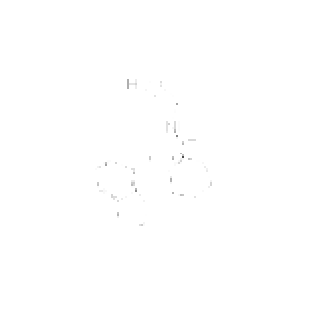 NC1CCCCC1.NCC(=O)O.O=Cc1cccc2c1OCO2